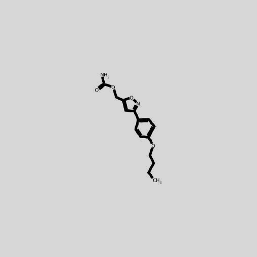 CCCCOc1ccc(-c2cc(COC(N)=O)on2)cc1